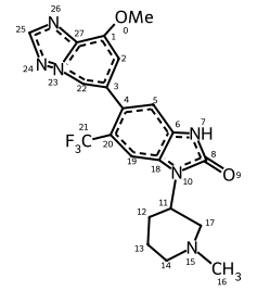 COc1cc(-c2cc3[nH]c(=O)n(C4CCCN(C)C4)c3cc2C(F)(F)F)cn2ncnc12